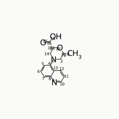 C[C@@H]1CN(c2cccc3ncccc23)C[C@H](C(=O)O)O1